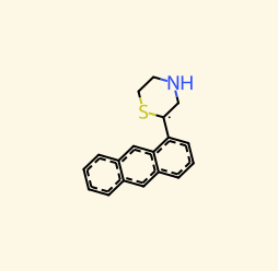 c1ccc2cc3c([C]4CNCCS4)cccc3cc2c1